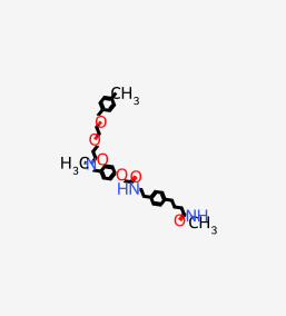 CNC(=O)CCCc1ccc(CCNC(=O)COc2ccc(CN(C)C(=O)CCOCCOCc3ccc(C)cc3)cc2)cc1